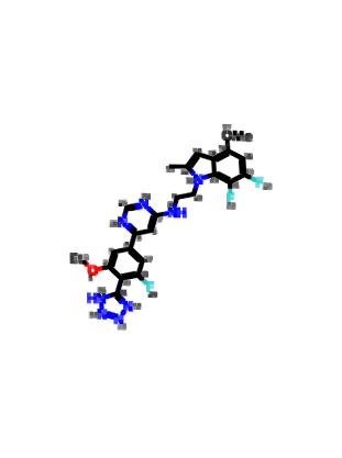 CCOc1cc(-c2cc(NCCn3c(C)cc4c(OC)cc(F)c(F)c43)ncn2)cc(F)c1-c1nnn[nH]1